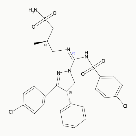 C[C@H](C/N=C(/NS(=O)(=O)c1ccc(Cl)cc1)N1C[C@H](c2ccccc2)C(c2ccc(Cl)cc2)=N1)CS(N)(=O)=O